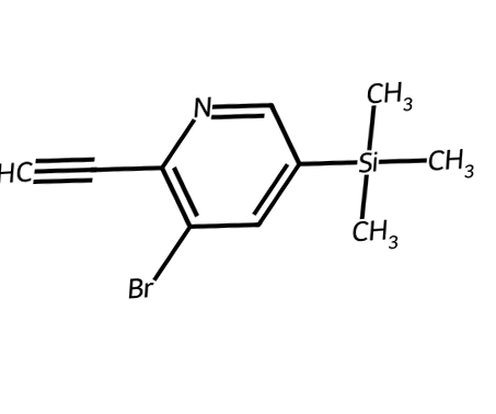 C#Cc1ncc([Si](C)(C)C)cc1Br